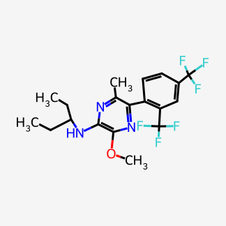 CCC(CC)Nc1nc(C)c(-c2ccc(C(F)(F)F)cc2C(F)(F)F)nc1OC